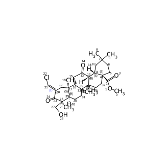 COC(=O)[C@]12CCC(C)(C)C[C@H]1[C@H]1C(=O)C=C3[C@@]4(C)C/C(=C\Cl)C(=O)[C@](C)(CO)[C@@H]4CC[C@@]3(C)[C@]1(C)CC2